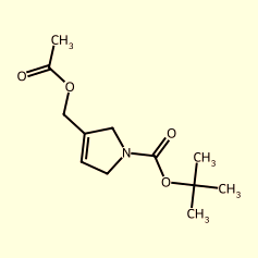 CC(=O)OCC1=CCN(C(=O)OC(C)(C)C)C1